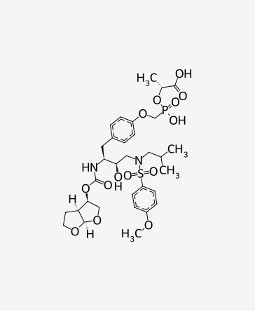 COc1ccc(S(=O)(=O)N(CC(C)C)C[C@@H](O)[C@H](Cc2ccc(OCP(=O)(O)O[C@H](C)C(=O)O)cc2)NC(=O)O[C@H]2CO[C@H]3OCC[C@H]32)cc1